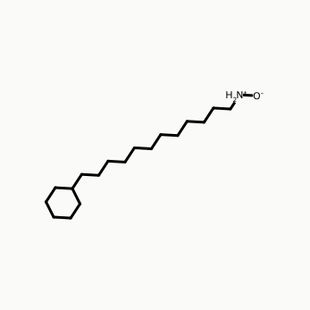 [O-][NH2+]CCCCCCCCCCCCC1CCCCC1